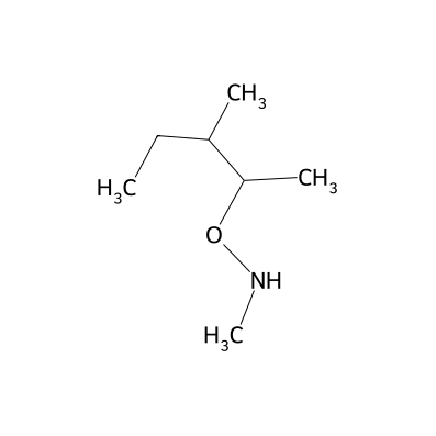 CCC(C)C(C)ONC